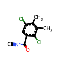 [C-]#[N+]C(=O)c1cc(Cl)c(C)c(C)c1Cl